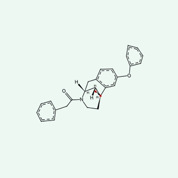 O=C(Cc1ccccc1)N1CC[C@]23CCCC[C@H]2[C@H]1Cc1ccc(Oc2ccccc2)cc13